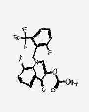 O=C(O)Oc1cn(Cc2c(F)cccc2C(F)(F)F)c2c(F)cccc2c1=O